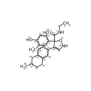 CCNC(=O)C1(c2cc(C)c(O)cc2O)ONC=C1c1ccc2c(c1)CCN(C)C2